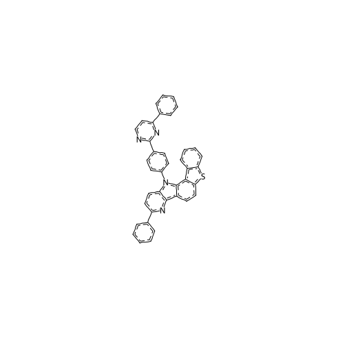 c1ccc(-c2ccnc(-c3ccc(-n4c5ccc(-c6ccccc6)nc5c5ccc6sc7ccccc7c6c54)cc3)n2)cc1